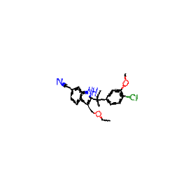 CCOCc1c(C(C)(C)c2ccc(Cl)c(OC)c2)[nH]c2cc(C#N)ccc12